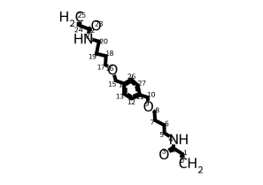 C=CC(=O)NCCCCOCc1ccc(COCCCCNC(=O)C=C)cc1